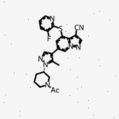 CC(=O)N1CCC[C@H](n2ncc(-c3cc(Sc4ncccc4F)c4c(C#N)cnn4c3)c2C)C1